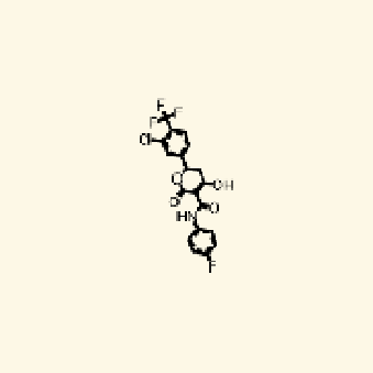 O=C(Nc1ccc(F)cc1)C1=C(O)CC(c2ccc(C(F)(F)F)c(Cl)c2)OC1=O